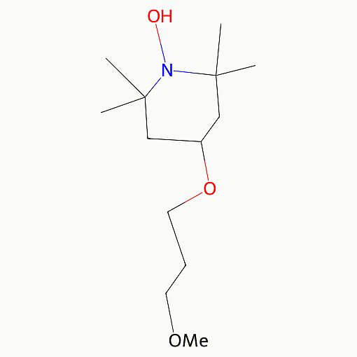 COCCCOC1CC(C)(C)N(O)C(C)(C)C1